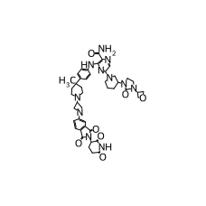 CC1(c2ccc(Nc3nc(N4CCCC(N5CCN(C6COC6)C5=O)C4)cnc3C(N)=O)cc2)CCN(C2CN(c3ccc4c(c3)C(=O)N(C3CCC(=O)NC3=O)C4=O)C2)CC1